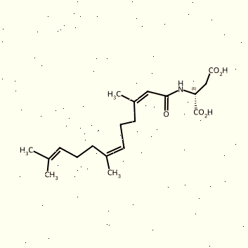 CC(C)=CCCC(C)=CCCC(C)=CC(=O)N[C@H](CC(=O)O)C(=O)O